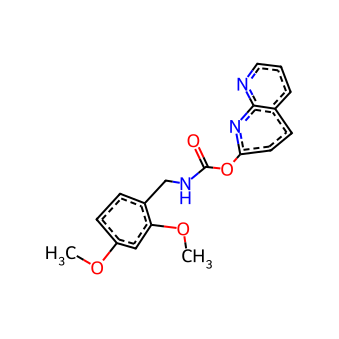 COc1ccc(CNC(=O)Oc2ccc3cccnc3n2)c(OC)c1